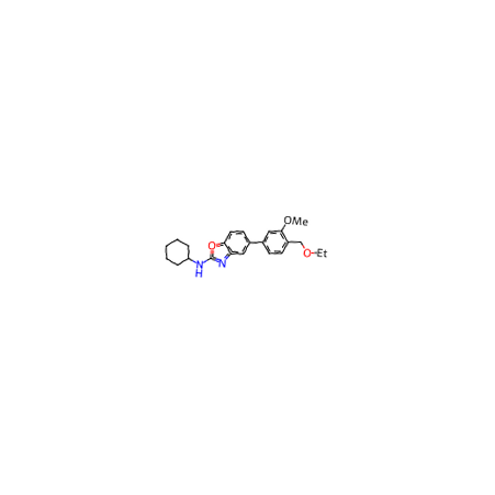 CCOCc1ccc(-c2ccc3oc(NC4CCCCC4)nc3c2)cc1OC